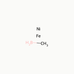 BC.[Fe].[Ni]